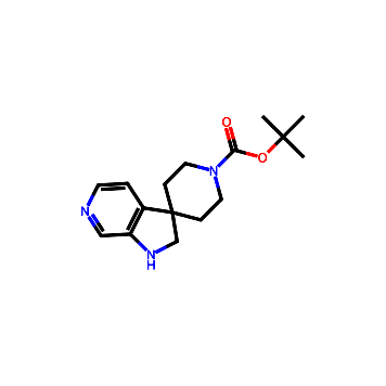 CC(C)(C)OC(=O)N1CCC2(CC1)CNc1cnccc12